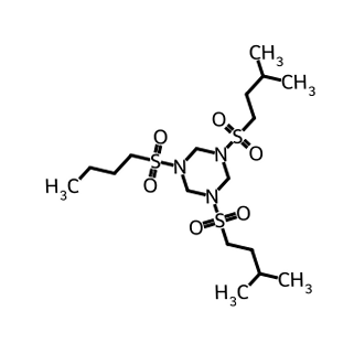 CCCCS(=O)(=O)N1CN(S(=O)(=O)CCC(C)C)CN(S(=O)(=O)CCC(C)C)C1